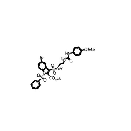 CCOC(=O)c1c(S(=O)(=O)NCCNC(=O)Nc2ccc(OC)cc2)c2cc(Br)ccc2n1S(=O)(=O)c1ccccc1